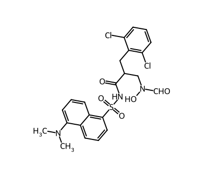 CN(C)c1cccc2c(S(=O)(=O)NC(=O)C(Cc3c(Cl)cccc3Cl)CN(O)C=O)cccc12